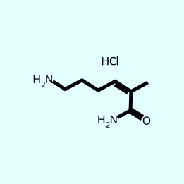 CC(=CCCCN)C(N)=O.Cl